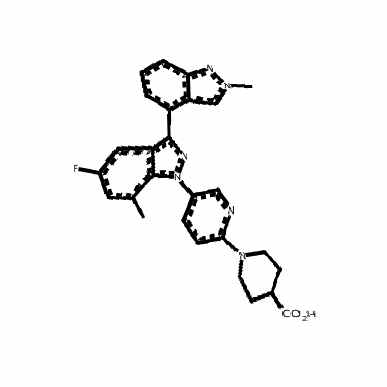 Cc1cc(F)cc2c(-c3cccc4nn(C)cc34)nn(-c3ccc(N4CCC(C(=O)O)CC4)nc3)c12